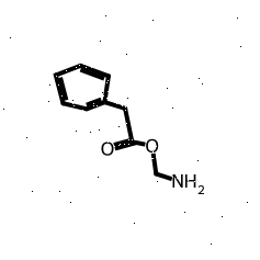 NCOC(=O)Cc1ccccc1